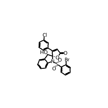 O=C1C=C(c2cccc(Cl)c2)[C@]2(O1)[C@@H](O)c1ccccc1N2S(=O)(=O)c1ccccc1Br